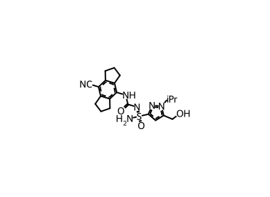 CC(C)n1nc(S(N)(=O)=NC(=O)Nc2c3c(c(C#N)c4c2CCC4)CCC3)cc1CO